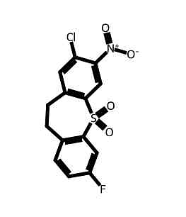 O=[N+]([O-])c1cc2c(cc1Cl)CCc1ccc(F)cc1S2(=O)=O